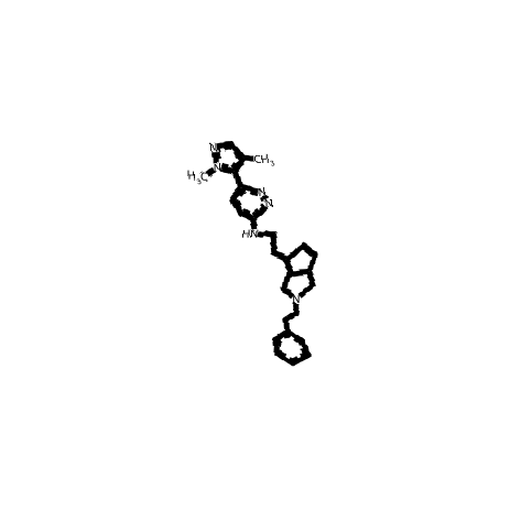 Cc1cnn(C)c1-c1ccc(NCCC2CCC3CN(CCc4ccccc4)CC23)nn1